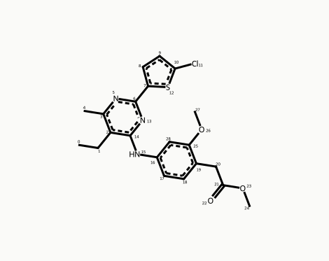 CCc1c(C)nc(-c2ccc(Cl)s2)nc1Nc1ccc(CC(=O)OC)c(OC)c1